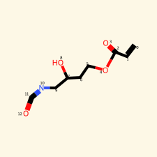 C=CC(=O)OCCC(O)CN=C=O